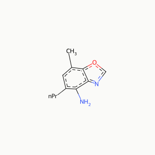 CCCc1cc(C)c2ocnc2c1N